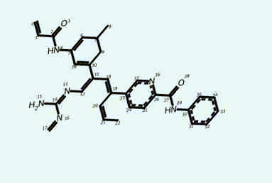 C=CC(=O)NC1=CC(C)CC(C(=C\N=C(\N)N=C)/C=C(\C=C/C)c2ccc(C(=O)Nc3ccccc3)nc2)=C1